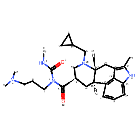 CCNC(=O)N(CCCN(C)C)C(=O)[C@@H]1C[C@@H]2c3cccc4[nH]c(C)c(c34)C[C@H]2N(CC2CC2)C1